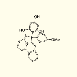 COc1ccc(C2(c3c(O)cc(O)cc3O)N=C3N=CC=C4c5ccccc5N=C2N43)cc1